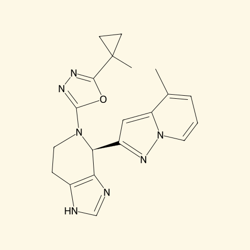 Cc1cccn2nc([C@H]3c4nc[nH]c4CCN3c3nnc(C4(C)CC4)o3)cc12